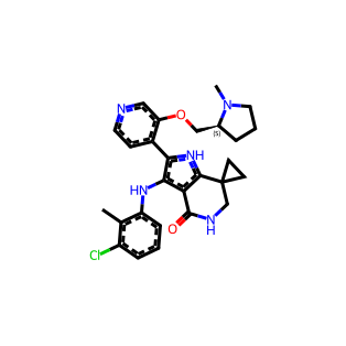 Cc1c(Cl)cccc1Nc1c(-c2ccncc2OC[C@@H]2CCCN2C)[nH]c2c1C(=O)NCC21CC1